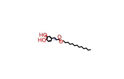 CCCCCCCCCCCCCOC(=O)/C=C/c1ccc(O)c(O)c1